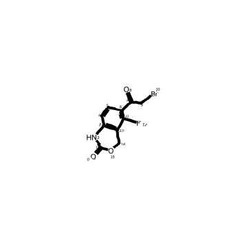 O=C1Nc2ccc(C(=O)CBr)c(F)c2CO1